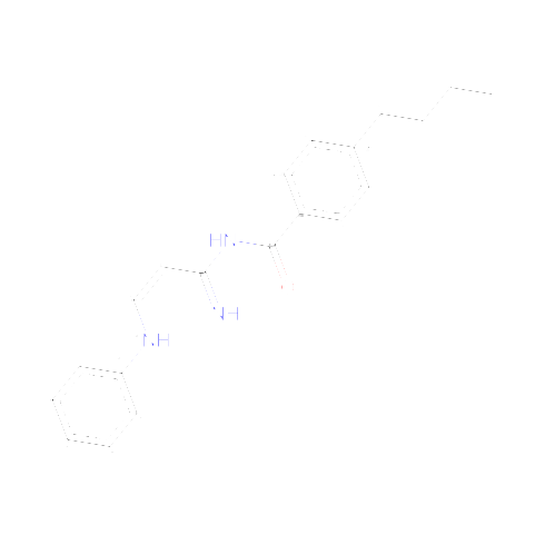 CCCCc1ccc(C(=O)NC(=N)/C=C\Nc2ccccc2)cc1